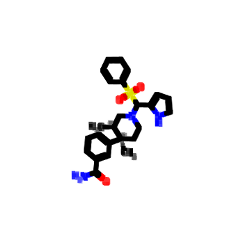 C[C@H]1CN(C(c2ccc[nH]2)S(=O)(=O)c2ccccc2)CC[C@@]1(C)c1cccc(C(N)=O)c1